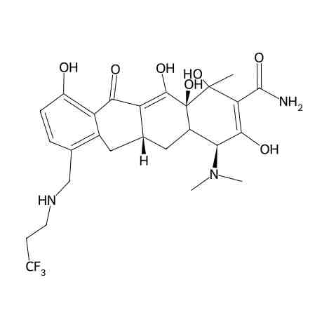 CN(C)[C@@H]1C(O)=C(C(N)=O)C(C)(O)[C@@]2(O)C(O)=C3C(=O)c4c(O)ccc(CNCCC(F)(F)F)c4C[C@H]3CC12